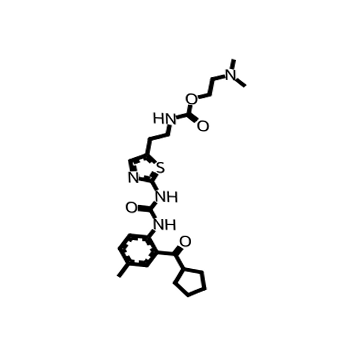 Cc1ccc(NC(=O)Nc2ncc(CCNC(=O)OCCN(C)C)s2)c(C(=O)C2CCCC2)c1